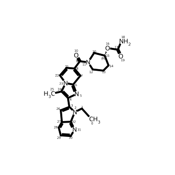 CCn1c(-c2nc3cc(C(=O)N4CCC[C@@H](OC(N)=O)C4)ccn3c2C)cc2cccnc21